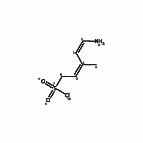 CC(/C=C\N)=C/CS(=O)(=O)Cl